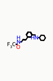 O=C(NC/C=C/c1cccc(CNC2CCCCC2)c1)C(F)(F)F